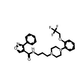 O=C(NCCCN1CCN(c2ccccc2OCC(F)(F)F)CC1)c1conc1-c1ccccc1